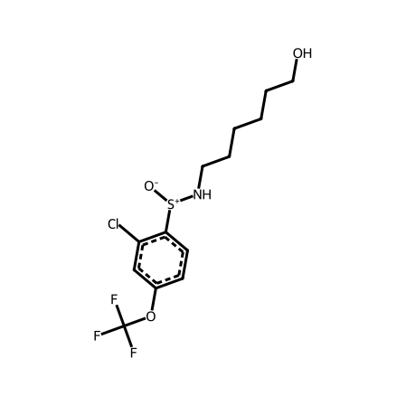 [O-][S+](NCCCCCCO)c1ccc(OC(F)(F)F)cc1Cl